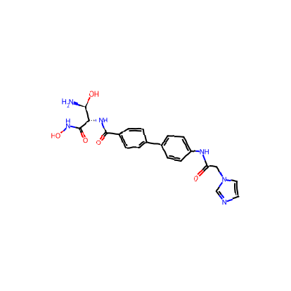 N[C@@H](O)[C@H](NC(=O)c1ccc(-c2ccc(NC(=O)Cn3ccnc3)cc2)cc1)C(=O)NO